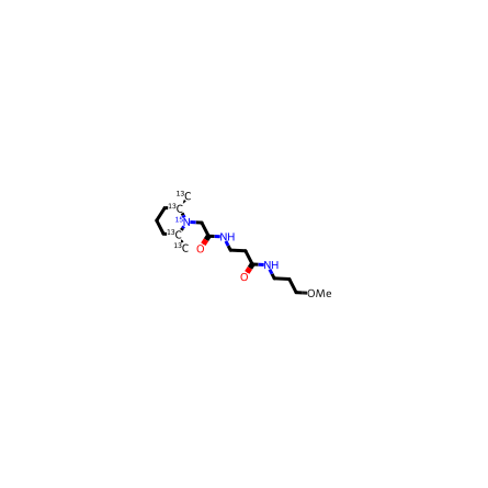 COCCCNC(=O)CCNC(=O)C[15N]1[13C@H]([13CH3])CCC[13C@@H]1[13CH3]